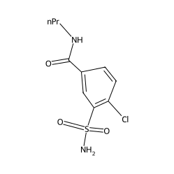 CCCNC(=O)c1ccc(Cl)c(S(N)(=O)=O)c1